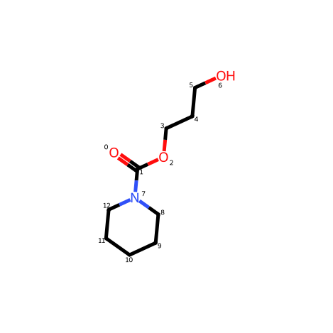 O=C(OCCCO)N1CCCCC1